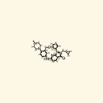 CN1CCN(c2ccc(Nc3ncc4c(=O)n(CC5CC5)n(-c5ccsc5)c4n3)cc2CO)CC1